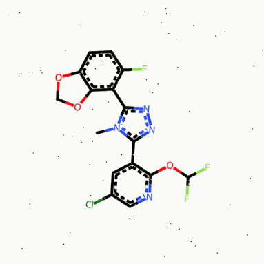 Cn1c(-c2cc(Cl)cnc2OC(F)F)nnc1-c1c(F)ccc2c1OCO2